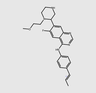 C/C=C/c1ccc(Nc2ncnc3cc(C4CNCCN4CCOC)c(F)cc23)cc1